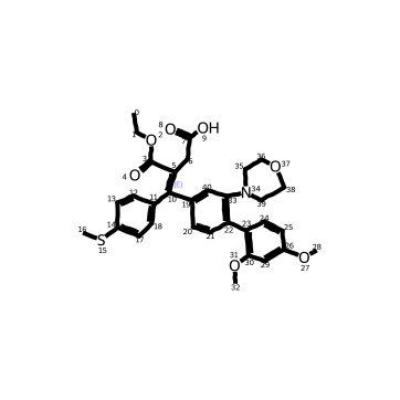 CCOC(=O)/C(CC(=O)O)=C(\c1ccc(SC)cc1)c1ccc(-c2ccc(OC)cc2OC)c(N2CCOCC2)c1